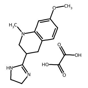 COc1ccc2c(c1)N(C)CC(C1=NCCN1)C2.O=C(O)C(=O)O